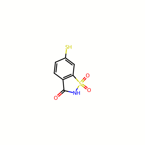 O=C1NS(=O)(=O)c2cc(S)ccc21